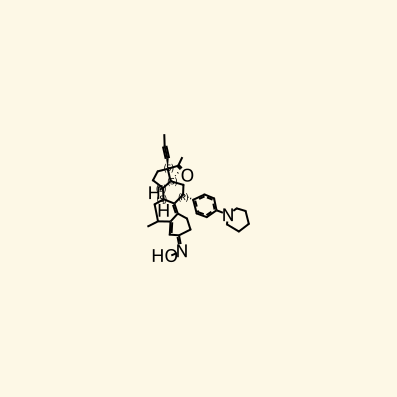 CC#C[C@]1(C(C)=O)CC[C@H]2[C@@H]3CC(C)C4=CC(=NO)CCC4=C3[C@@H](c3ccc(N4CCCCC4)cc3)C[C@@]21C